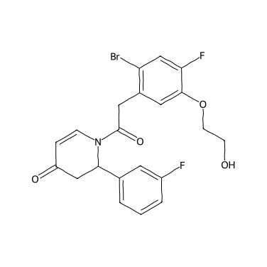 O=C1C=CN(C(=O)Cc2cc(OCCO)c(F)cc2Br)C(c2cccc(F)c2)C1